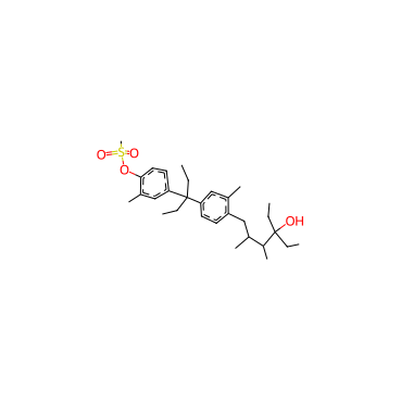 CCC(CC)(c1ccc(CC(C)C(C)C(O)(CC)CC)c(C)c1)c1ccc(OS(C)(=O)=O)c(C)c1